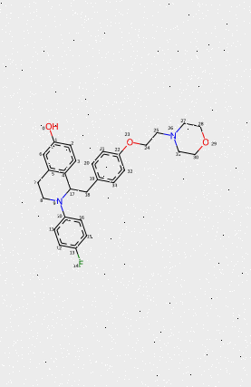 Oc1ccc2c(c1)CCN(c1ccc(F)cc1)C2Cc1ccc(OCCN2CCOCC2)cc1